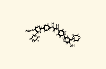 CSc1cnc(-c2ccc(NC(=O)Nc3ccc(-c4ncc(S)c(N5CCOCC5)n4)cc3)cc2)nc1N1CCOCC1